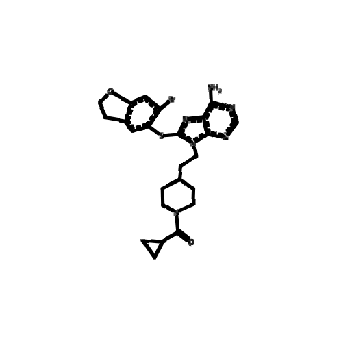 Nc1ncnc2c1nc(Sc1cc3c(cc1Br)OCC3)n2CCC1CCN(C(=O)C2CC2)CC1